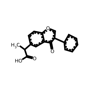 CC(C(=O)O)c1ccc2occ(-c3ccccc3)c(=O)c2c1